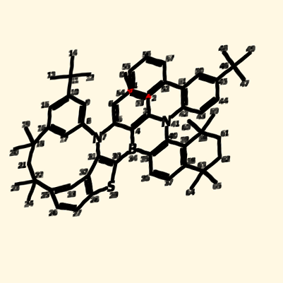 Cc1cc2c3c(c1)N1c4cc(C(C)(C)C)cc(c4)C(C)(C)CC(C)(C)c4ccc5sc(c1c5c4)B3c1ccc3c(c1N2c1ccc(C(C)(C)C)cc1-c1ccccc1)C(C)(C)CCC3(C)C